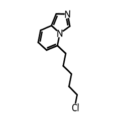 ClCCCCCc1cccc2cncn12